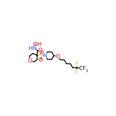 O=C(NO)C1(S(=O)(=O)N2CCC(OCCCCCC(F)(F)C(F)(F)F)CC2)CCOCC1